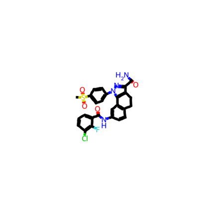 CS(=O)(=O)c1ccc(-n2nc(C(N)=O)c3c2-c2cc(NC(=O)c4cccc(Cl)c4F)ccc2CC3)cc1